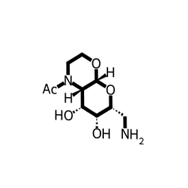 CC(=O)N1CCO[C@@H]2O[C@H](CN)[C@H](O)[C@H](O)[C@@H]21